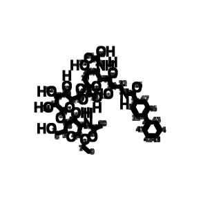 CCO[C@@H]1OC(CO)[C@@H](O[C@@H]2OC(CO[C@]3(C(=O)O)C[C@@H](O)[C@@H](NC(=O)O)C([C@H](O)[C@H](O)CNC(=O)c4ccc(-c5ccccc5)cc4)O3)[C@H](O)[C@H](O)C2O)[C@H](O)C1NC(C)=O